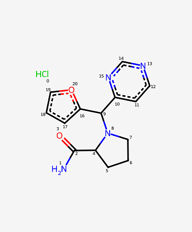 Cl.NC(=O)C1CCCN1C(c1ccncn1)c1ccco1